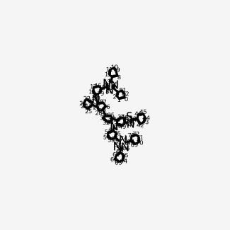 c1ccc(-c2nc(-c3ccccc3)nc(-c3cccc(-n4c5ccccc5c5cc(-c6ccc7c(c6)c6cc8sc(-c9ccccc9)nc8cc6n7-c6cccc(-c7nc(-c8ccccc8)nc(-c8ccccc8)n7)c6)ccc54)c3)n2)cc1